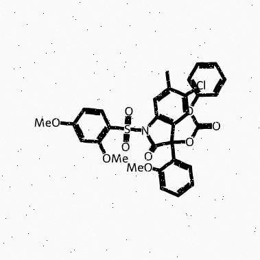 COc1ccc(S(=O)(=O)N2C(=O)C(OC(=O)Oc3ccccc3)(c3ccccc3OC)c3cc(Cl)c(C)cc32)c(OC)c1